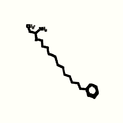 [CH2]CC(N)SCCCCCCCCCCCCc1ccccc1